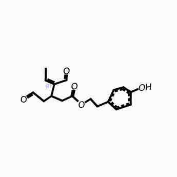 C/C=C(\C=O)C(CC=O)CC(=O)OCCc1ccc(O)cc1